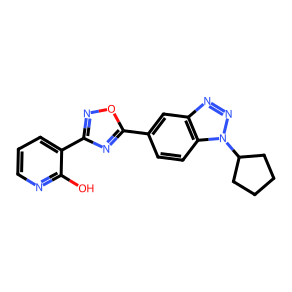 Oc1ncccc1-c1noc(-c2ccc3c(c2)nnn3C2CCCC2)n1